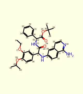 CCOc1cc(C(Nc2ccc3c(N)nccc3c2)C(=O)N[C@H](C(=O)OC(C)(C)C)c2ccccc2)ccc1OC(C)C